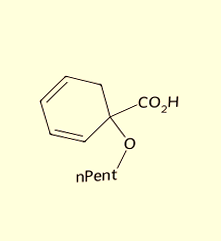 CCCCCOC1(C(=O)O)C=CC=CC1